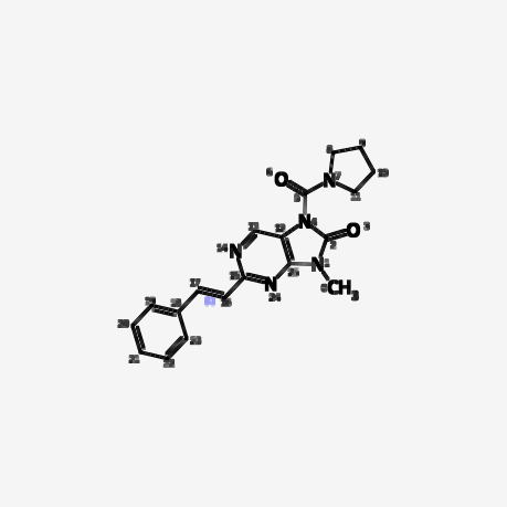 Cn1c(=O)n(C(=O)N2CCCC2)c2cnc(/C=C/c3ccccc3)nc21